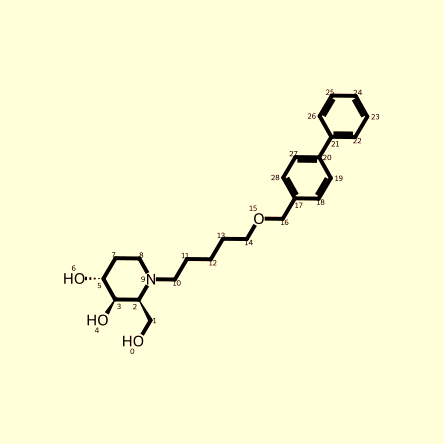 OC[C@H]1[C@@H](O)[C@H](O)CCN1CCCCCOCc1ccc(-c2ccccc2)cc1